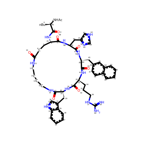 CCCC[C@@H](NC(C)=O)C(=O)N[C@H]1CCC(=O)NCCCCNC(=O)[C@@H](Cc2c[nH]c3ccccc23)NC(=O)[C@H](CCCNC(=N)N)NC(=O)[C@@H](Cc2ccc3ccccc3c2)NC(=O)C(Cc2c[nH]cn2)NC1=O